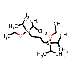 CCO[Si](CCC[Si](OCC)(C(C)C)C(C)C)(C(C)C)C(C)C